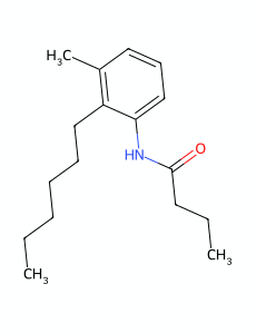 CCCCCCc1c(C)cccc1NC(=O)CCC